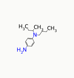 CCCCN(c1ccc(N)cc1)C(C)CC